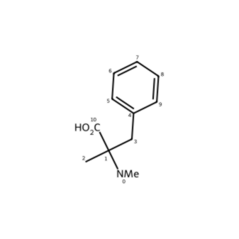 CNC(C)(Cc1ccccc1)C(=O)O